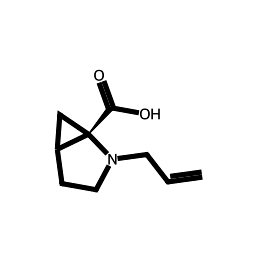 C=CCN1CCC2C[C@@]21C(=O)O